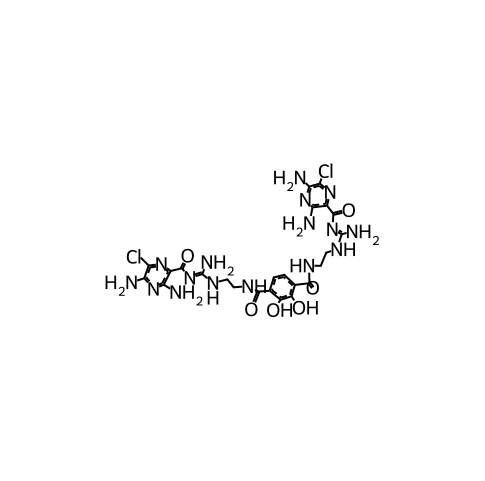 N/C(=N\C(=O)c1nc(Cl)c(N)nc1N)NCCNC(=O)c1ccc(C(=O)NCCN/C(N)=N/C(=O)c2nc(Cl)c(N)nc2N)c(O)c1O